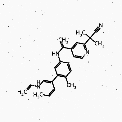 C=CN/C=C(\C=C/C)c1cc(NC(=C)c2ccnc(C(C)(C)C#N)c2)ccc1C